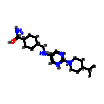 CC(C)C1CCN(c2ncc(NC[C@H]3CC[C@H](C(N)=O)CC3)cn2)CC1